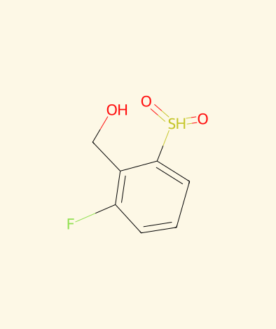 O=[SH](=O)c1cccc(F)c1CO